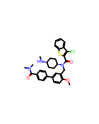 CN[C@H]1CC[C@@H](N(Cc2cc(-c3ccc(C(=O)N(C)C)cc3)ccc2OC)C(=O)c2sc3ccccc3c2Cl)CC1